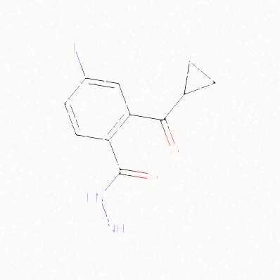 NNC(=O)c1ccc(I)cc1C(=O)C1CC1